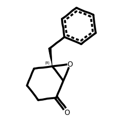 O=C1CCC[C@]2(Cc3ccccc3)OC12